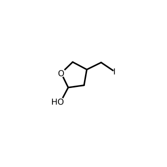 OC1CC(CI)CO1